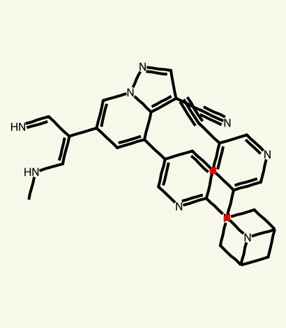 C#Cc1cncc(CN2C3CC2CN(c2ccc(-c4cc(/C(C=N)=C/NC)cn5ncc(C#N)c45)cn2)C3)c1